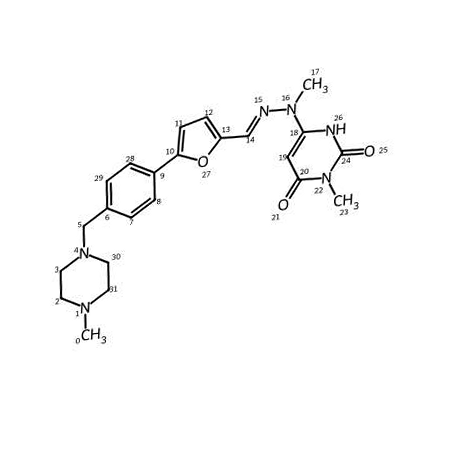 CN1CCN(Cc2ccc(-c3ccc(/C=N/N(C)c4cc(=O)n(C)c(=O)[nH]4)o3)cc2)CC1